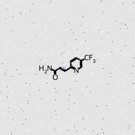 NC(=O)/C=C/c1ccc(C(F)(F)F)cn1